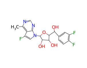 Cc1ncnc2c1c(F)cn2C1OC(C(O)c2ccc(F)c(F)c2)C(O)C1O